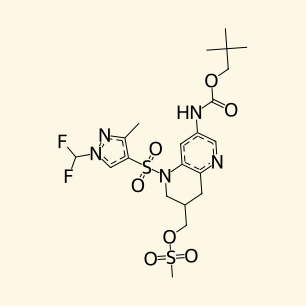 Cc1nn(C(F)F)cc1S(=O)(=O)N1CC(COS(C)(=O)=O)Cc2ncc(NC(=O)OCC(C)(C)C)cc21